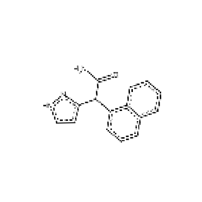 NC(=O)C(c1cc[nH]n1)c1cccc2ccccc12